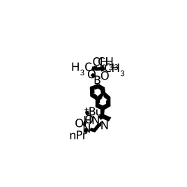 CCCN(Cc1ncc(-c2ccc3cc(B4OC(C)(C)C(C)(C)O4)ccc3c2)[nH]1)C(=O)OC(C)(C)C